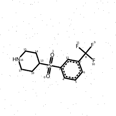 O=S(=O)(c1cccc(C(F)(F)F)c1)C1CCNCC1